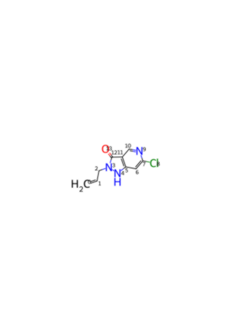 C=CCn1[nH]c2cc(Cl)ncc2c1=O